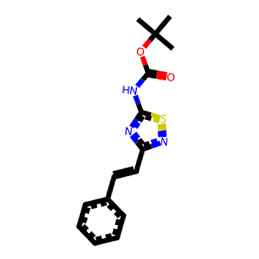 CC(C)(C)OC(=O)Nc1nc(C=Cc2ccccc2)ns1